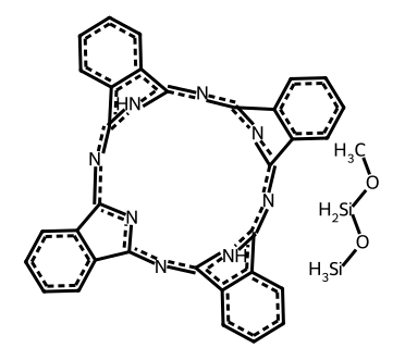 CO[SiH2]O[SiH3].c1ccc2c(c1)-c1nc-2nc2[nH]c(nc3nc(nc4[nH]c(n1)c1ccccc41)-c1ccccc1-3)c1ccccc21